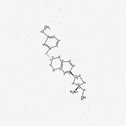 COc1cccc(C[C@H]2CCc3cc([C@H]4CC[C@](N)(CO)C4)ccc3C2)c1